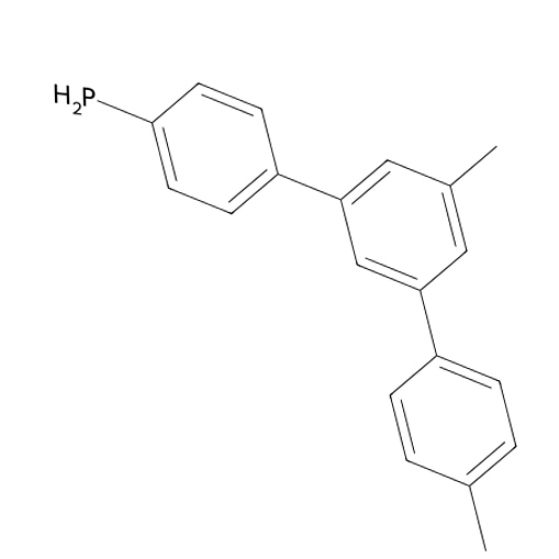 Cc1ccc(-c2cc(C)cc(-c3ccc(P)cc3)c2)cc1